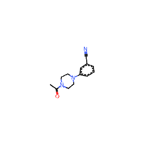 CC(=O)N1CCN(c2cccc(C#N)c2)CC1